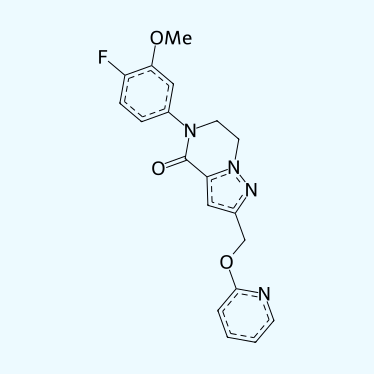 COc1cc(N2CCn3nc(COc4ccccn4)cc3C2=O)ccc1F